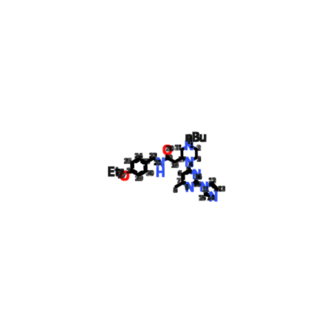 CCCCN1CCN(c2cc(C)nc(-n3ccnc3)n2)C(CC(=O)NCc2ccc(OCC)cc2)C1